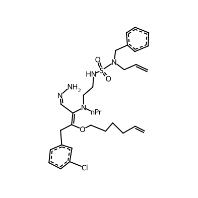 C=CCCCCO/C(Cc1cccc(Cl)c1)=C(/C=N\N)N(CCC)CCNS(=O)(=O)N(CC=C)Cc1ccccc1